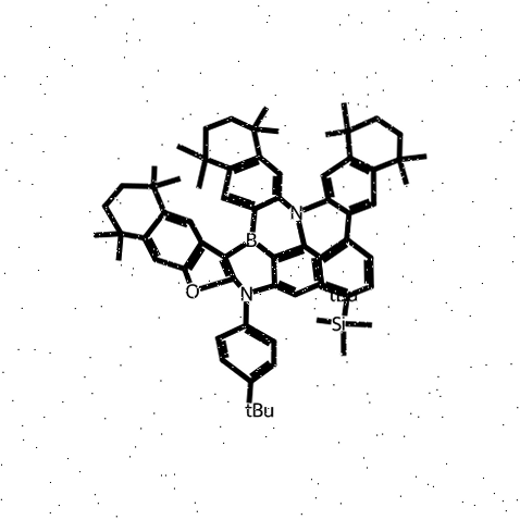 CC(C)(C)c1ccc(N2c3cc(C(C)(C)C)cc4c3B(c3cc5c(cc3N4c3cc4c(cc3-c3ccc([Si](C)(C)C)cc3)C(C)(C)CCC4(C)C)C(C)(C)CCC5(C)C)c3c2oc2cc4c(cc32)C(C)(C)CCC4(C)C)cc1